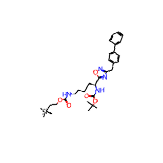 CC(C)(C)OC(=O)N[C@@H](CCCCNC(=O)OCC[Si](C)(C)C)c1nc(Cc2ccc(-c3ccccc3)cc2)no1